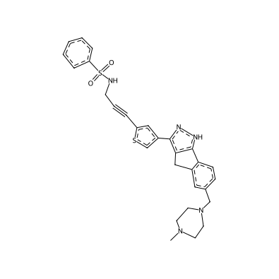 CN1CCN(Cc2ccc3c(c2)Cc2c(-c4csc(C#CCNS(=O)(=O)c5ccccc5)c4)n[nH]c2-3)CC1